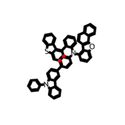 c1ccc(-n2c3ccccc3c3cc(-c4ccc(N(c5ccccc5-c5cccc6sc7ccccc7c56)c5cccc6oc7c8ccccc8ccc7c56)cc4)ccc32)cc1